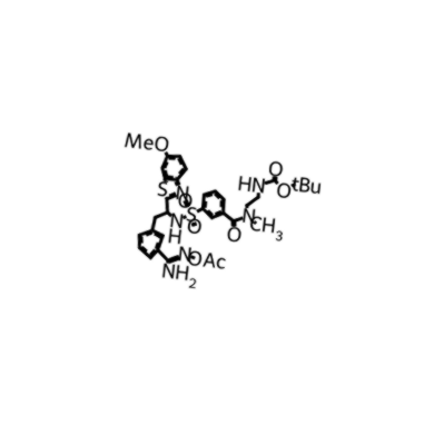 COc1ccc2nc(C(Cc3cccc(C(N)=NOC(C)=O)c3)NS(=O)(=O)c3cccc(C(=O)N(C)CCNC(=O)OC(C)(C)C)c3)sc2c1